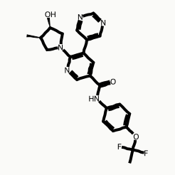 C[C@@H]1CN(c2ncc(C(=O)Nc3ccc(OC(C)(F)F)cc3)cc2-c2cncnc2)C[C@@H]1O